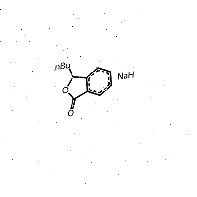 CCCCC1OC(=O)c2ccccc21.[NaH]